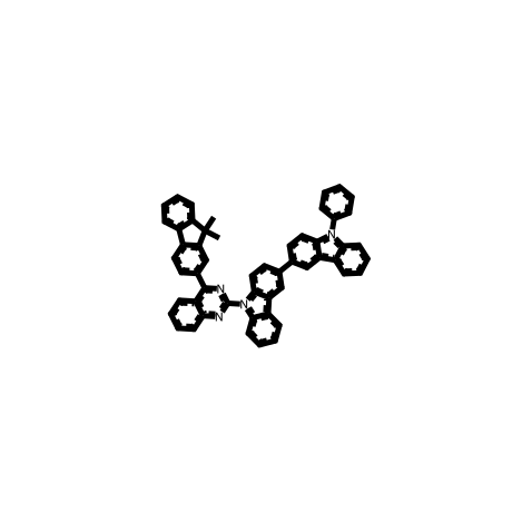 CC1(C)c2ccccc2-c2ccc(-c3nc(-n4c5ccccc5c5cc(-c6ccc7c(c6)c6ccccc6n7-c6ccccc6)ccc54)nc4ccccc34)cc21